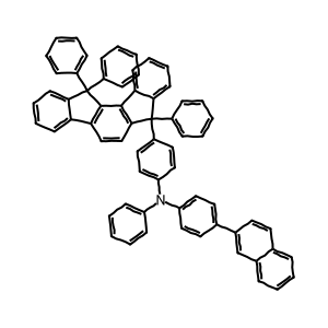 c1ccc(N(c2ccc(-c3ccc4ccccc4c3)cc2)c2ccc(C3(c4ccccc4)c4ccccc4-c4c3ccc3c4C(c4ccccc4)(c4ccccc4)c4ccccc4-3)cc2)cc1